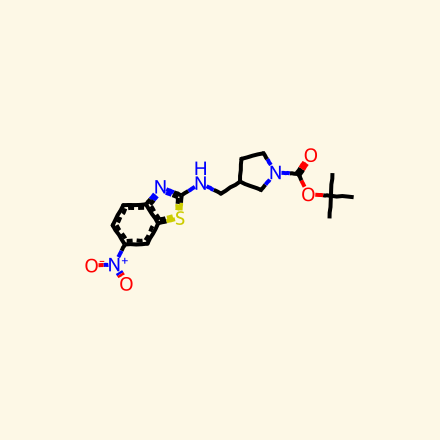 CC(C)(C)OC(=O)N1CCC(CNc2nc3ccc([N+](=O)[O-])cc3s2)C1